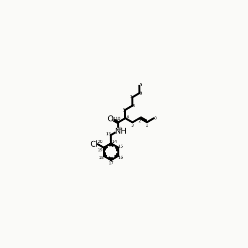 C/C=C/CC(CCCCC)C(=O)NCc1ccccc1Cl